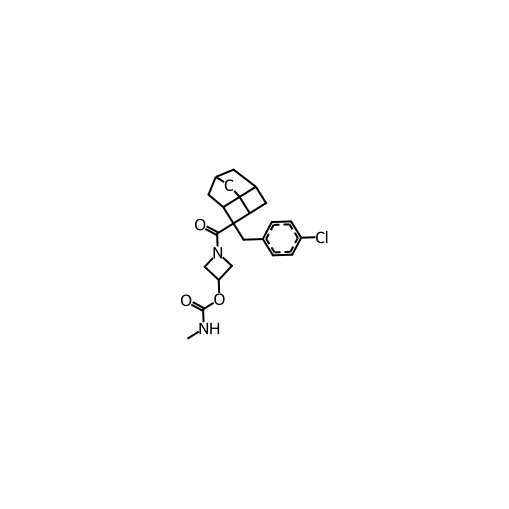 CNC(=O)OC1CN(C(=O)C2(Cc3ccc(Cl)cc3)C3CC4CC5CC2C53C4)C1